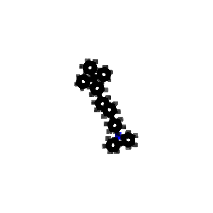 c1ccc([Si](c2ccccc2)(c2ccccc2)c2ccc(-c3ccc4cc(-c5ccc(-n6c7ccccc7c7ccccc76)cc5)ccc4c3)cc2)cc1